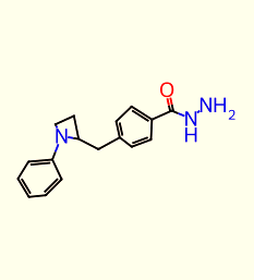 NNC(=O)c1ccc(CC2CCN2c2ccccc2)cc1